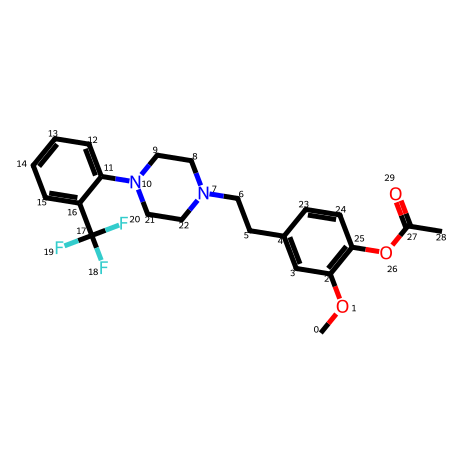 COc1cc(CCN2CCN(c3ccccc3C(F)(F)F)CC2)ccc1OC(C)=O